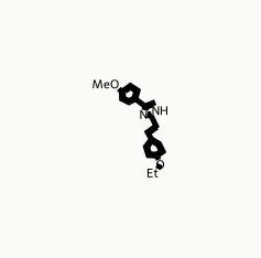 CCOc1ccc(C=Cc2nc(-c3ccc(OC)cc3)c[nH]2)cc1